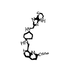 COc1ccc2ccnc(CNC3CCC(NCc4cnc5c(n4)NCCS5)CC3)c2n1